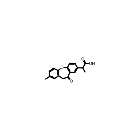 Cc1ccc2c(c1)CC(=O)c1cc(C(C)C(=O)O)ccc1O2